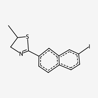 CC1CN=C(c2ccc3ccc(I)cc3c2)S1